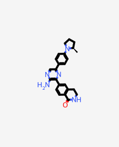 C[C@@H]1CCCN1c1ccc(-c2cnc(N)c(-c3ccc4c(c3)CCNC4=O)n2)cc1